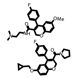 COc1ccc2c(c1)C(c1ccc(F)cc1)=C(C(=O)NCCN(C)C)CO2.O=C(C1=C(c2ccc(F)cc2)c2cc(OCC3CC3)ccc2OC1)N1CCCC1